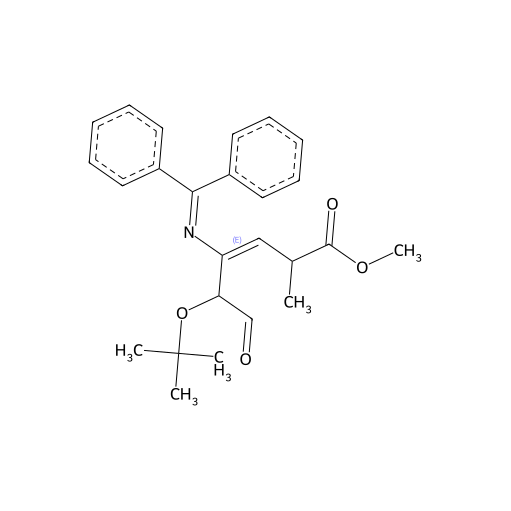 COC(=O)C(C)/C=C(/N=C(c1ccccc1)c1ccccc1)C(C=O)OC(C)(C)C